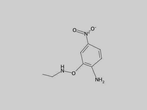 CCNOc1cc([N+](=O)[O-])ccc1N